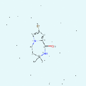 CC1(C)CCn2cc(Br)cc2C(=O)N1